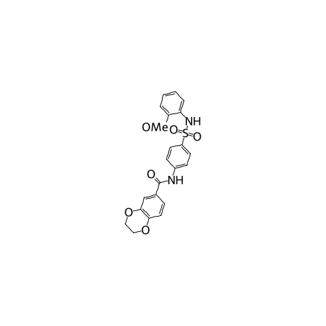 COc1ccccc1NS(=O)(=O)c1ccc(NC(=O)c2ccc3c(c2)OCCO3)cc1